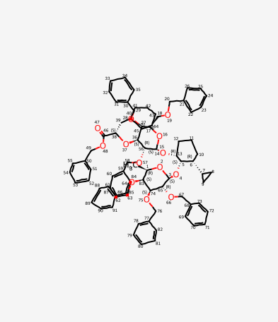 C[C@H]1O[C@@H](O[C@H]2[C@@H](C3CC3)CCC[C@H]2O[C@H]2O[C@H](COCc3ccccc3)[C@H](OCc3ccccc3)[C@H](O[C@@H](CC3CCCCC3)C(=O)OCc3ccccc3)[C@H]2OCc2ccccc2)[C@H](OCc2ccccc2)[C@@H](OCc2ccccc2)[C@H]1OCc1ccccc1